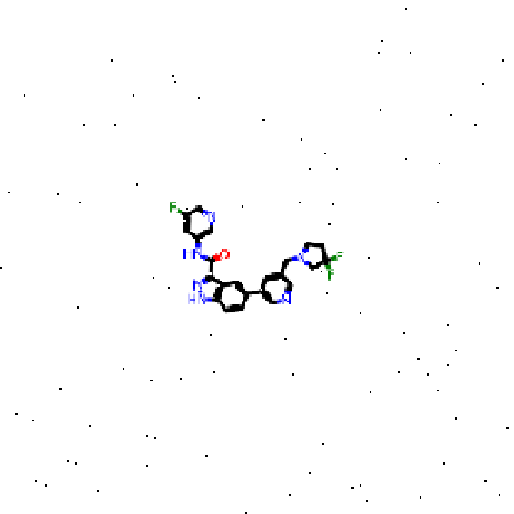 O=C(Nc1cncc(F)c1)c1n[nH]c2ccc(-c3cncc(CN4CCC(F)(F)C4)c3)cc12